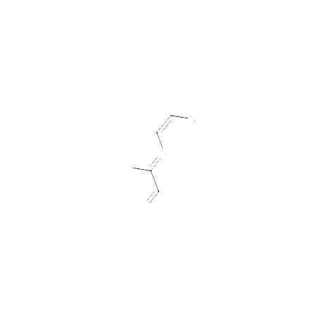 C/C(C=O)=N\C=C/N